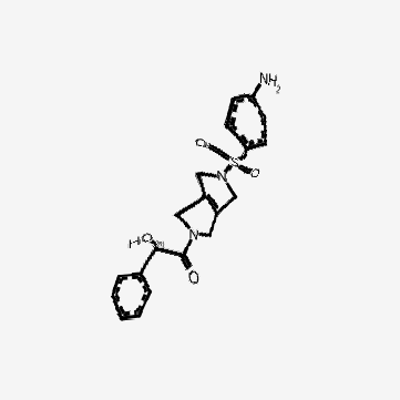 Nc1ccc(S(=O)(=O)N2CC3=C(CN(C(=O)[C@H](O)c4ccccc4)C3)C2)cc1